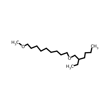 CCCCC(CC)COCCCCCCCCCOC